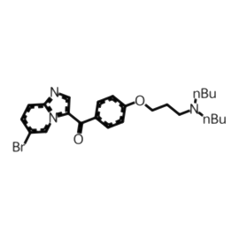 CCCCN(CCCC)CCCOc1ccc(C(=O)c2cnc3ccc(Br)cn23)cc1